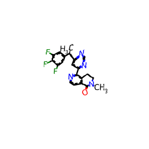 C[C@H](c1cc(F)c(F)c(F)c1)c1cc(-c2nccc3c2CCN(C)C3=O)ncn1